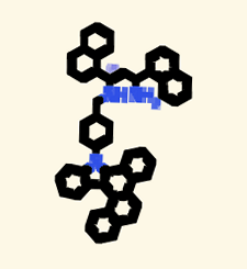 NC(/C=C(\NCC1C=CC(n2c3ccccc3c3c4c5ccccc5ccc4c4ccccc4c32)=CC1)C1=CC=CC2CC=CC=C12)c1cccc2ccccc12